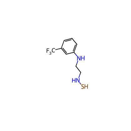 FC(F)(F)c1cccc(NCCNS)c1